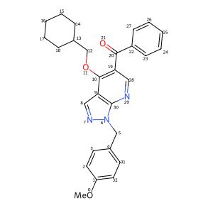 COc1ccc(Cn2ncc3c(OCC4CCCCC4)c(C(=O)c4ccccc4)cnc32)cc1